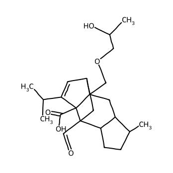 CC(O)COCC12CC3C(C)CCC3C3(C=O)CC1C=C(C(C)C)C32C(=O)O